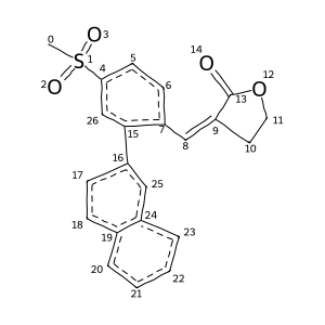 CS(=O)(=O)c1ccc(/C=C2/CCOC2=O)c(-c2ccc3ccccc3c2)c1